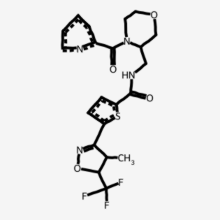 CC1C(c2ccc(C(=O)NCC3COCCN3C(=O)c3ccccn3)s2)=NOC1C(F)(F)F